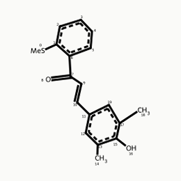 CSc1ccccc1C(=O)/C=C/c1cc(C)c(O)c(C)c1